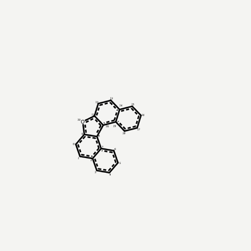 [c]1cc2ccccc2c2c1oc1ccc3ccccc3c12